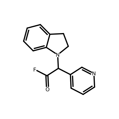 O=C(F)C(c1cccnc1)N1CCc2ccccc21